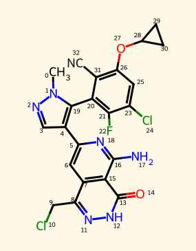 Cn1ncc(-c2cc3c(CCl)n[nH]c(=O)c3c(N)n2)c1-c1c(F)c(Cl)cc(OC2CC2)c1C#N